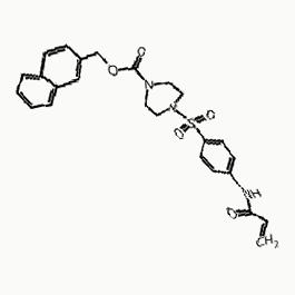 C=CC(=O)Nc1ccc(S(=O)(=O)N2CCN(C(=O)OCc3ccc4ccccc4c3)CC2)cc1